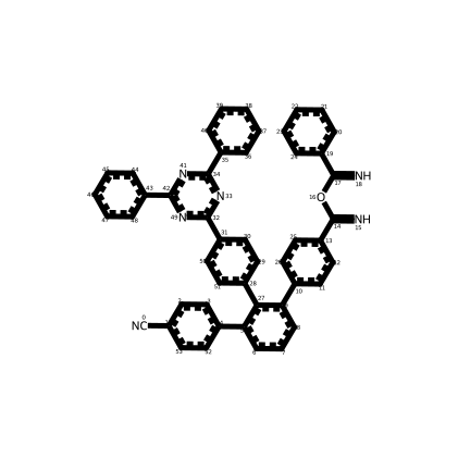 N#Cc1ccc(-c2cccc(-c3ccc(C(=N)OC(=N)c4ccccc4)cc3)c2-c2ccc(-c3nc(-c4ccccc4)nc(-c4ccccc4)n3)cc2)cc1